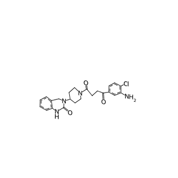 Nc1cc(C(=O)CCC(=O)N2CCC(N3Cc4ccccc4NC3=O)CC2)ccc1Cl